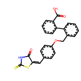 O=C1NC(=S)SC1=Cc1ccc(OCc2ccccc2-c2ccccc2C(=O)O)cc1